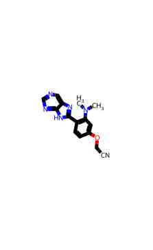 CN(C)c1cc(OCC#N)ccc1-c1nc2cncnc2[nH]1